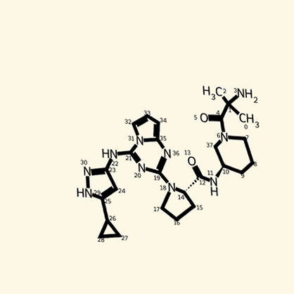 CC(C)(N)C(=O)N1CCC[C@@H](NC(=O)[C@@H]2CCCN2c2nc(Nc3cc(C4CC4)[nH]n3)n3cccc3n2)C1